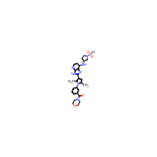 CCS(=O)(=O)N1CC[C@H](Nc2ccnc3[nH]c(-c4cc(C)n(-c5cccc(C(=O)N6CCOCC6)c5)c4C)nc23)C1